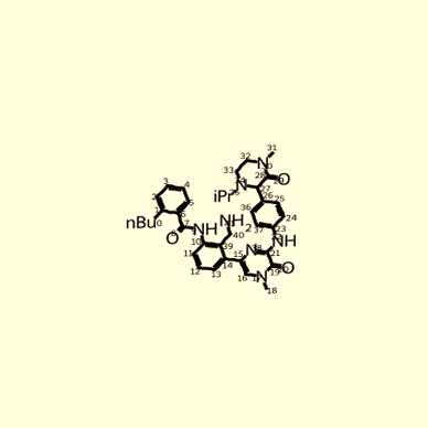 CCCCc1ccccc1C(=O)Nc1cccc(-c2cn(C)c(=O)c(Nc3ccc(C4C(=O)N(C)CCN4C(C)C)cc3)n2)c1CN